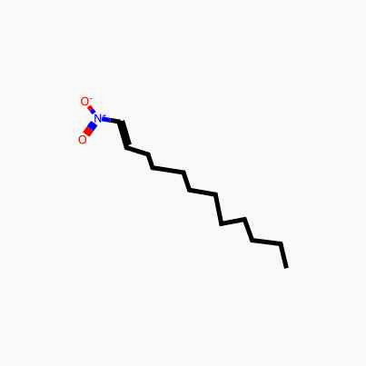 CCCCCCCCCC/C=C/[N+](=O)[O-]